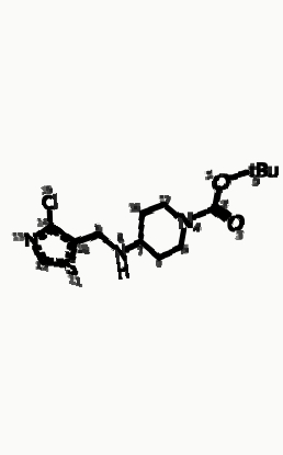 CC(C)(C)OC(=O)N1CCC(NCc2scnc2Cl)CC1